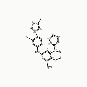 CNc1nc(Nc2ccc(-n3cnc(C)n3)c(F)c2)nc2c1CCOC2c1ccccc1